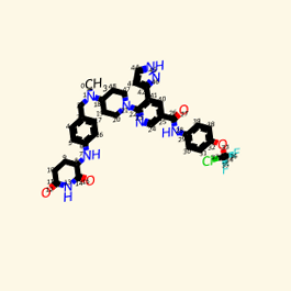 CN(Cc1ccc(NC2CCC(=O)NC2=O)cc1)C1CCN(c2ncc(C(=O)Nc3ccc(OC(F)(F)Cl)cc3)cc2-c2cc[nH]n2)CC1